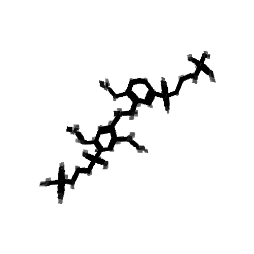 COc1ccc(S(=O)(=O)CCOS(=O)(=O)O)cc1NNc1cc(OC)c(S(=O)(=O)CCOS(=O)(=O)O)cc1OC